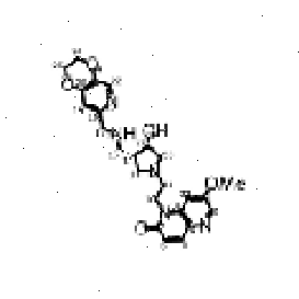 COc1cnc2ccc(=O)n(CCN3C[C@H](CNCc4cc5c(cn4)OCCO5)[C@H](O)C3)c2c1